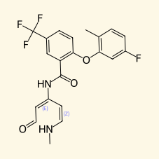 CN/C=C\C(=C/C=O)NC(=O)c1cc(C(F)(F)F)ccc1Oc1cc(F)ccc1C